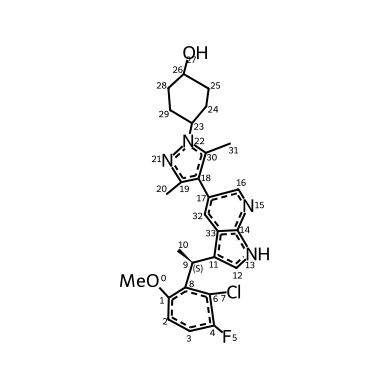 COc1ccc(F)c(Cl)c1[C@@H](C)c1c[nH]c2ncc(-c3c(C)nn(C4CCC(O)CC4)c3C)cc12